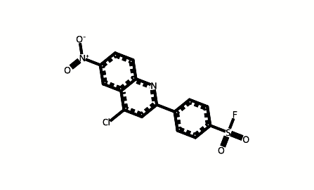 O=[N+]([O-])c1ccc2nc(-c3ccc(S(=O)(=O)F)cc3)cc(Cl)c2c1